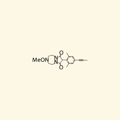 CC#Cc1cc(C)c(C2C(=O)N3CCN(OC)CCN3C2=O)c(C)c1